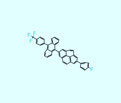 Fc1ccc(-c2cc3ccc4cc(-c5c6ccccc6c(-c6ccc(C(F)(F)F)cc6)c6ccccc56)cc5ccc(c2)c3c45)cc1